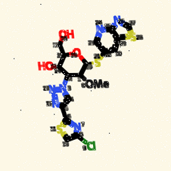 COC1C(n2cc(-c3nc(Cl)cs3)nn2)[C@@H](O)C(CO)O[C@@H]1Sc1cnc2ncsc2c1